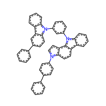 c1ccc(-c2ccc(-n3ccc4c3ccc3c5ccccc5n(-c5cccc(-n6c7ccccc7c7cc(-c8ccccc8)ccc76)c5)c34)cc2)cc1